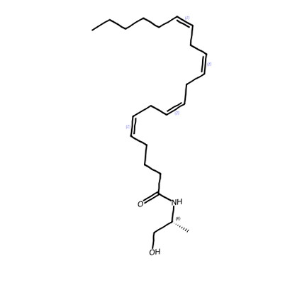 CCCCC/C=C\C/C=C\C/C=C\C/C=C\CCCC(=O)N[C@H](C)CO